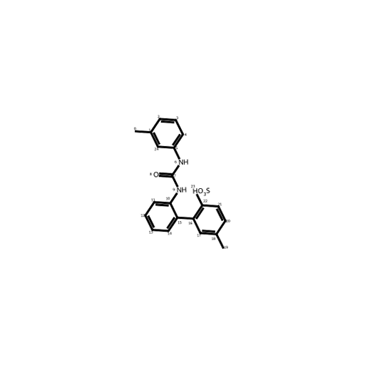 Cc1cccc(NC(=O)Nc2ccccc2-c2cc(C)ccc2S(=O)(=O)O)c1